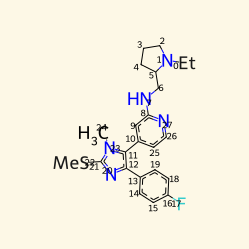 CCN1CCCC1CNc1cc(-c2c(-c3ccc(F)cc3)nc(SC)n2C)ccn1